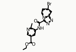 CCOC(=O)c1cnc(C)c(NC(=O)c2nnc3cc(Br)ccn23)c1